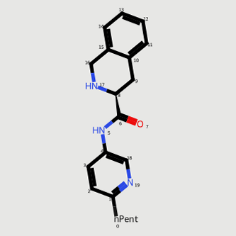 CCCCCc1ccc(NC(=O)[C@@H]2Cc3ccccc3CN2)cn1